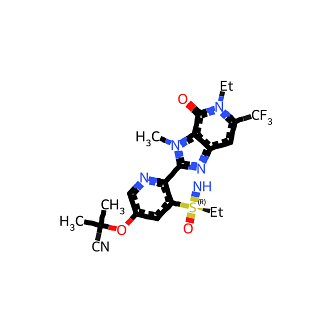 CCn1c(C(F)(F)F)cc2nc(-c3ncc(OC(C)(C)C#N)cc3[S@](=N)(=O)CC)n(C)c2c1=O